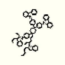 C=C/C(=C\C=C\C1(c2ccc(-n3c(C=C)c(/C=C\C)c4ccccc43)cc2)CCC(c2ccc(-n3c4ccccc4c4ccccc43)cc2)(c2ccc(-n3c4ccccc4c4ccccc43)cc2)CC1)n1c(/C=C\C=C/C)cc2ccccc21